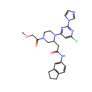 COCC(=O)N1CCN(c2cc(Cl)nc(-n3ccnc3)n2)C(CC(=O)Nc2ccc3c(c2)CCC3)C1